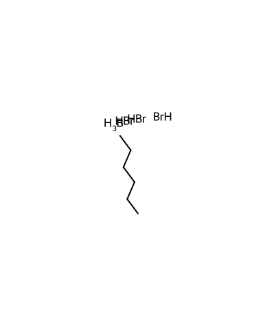 B.Br.Br.Br.CCCCCC